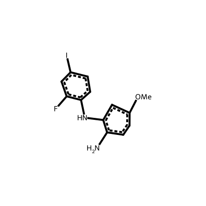 COc1ccc(N)c(Nc2ccc(I)cc2F)c1